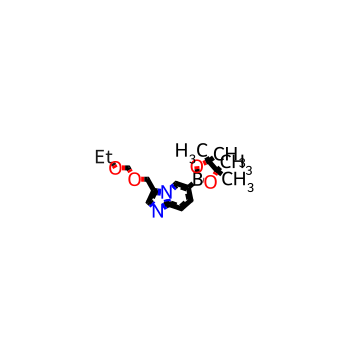 CCOCOCc1cnc2ccc(B3OC(C)(C)C(C)(C)O3)cn12